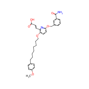 COc1ccc(CCCCCCCCOc2ccc(OCc3cccc(C(N)=O)c3)nc2C=CC(=O)O)cc1